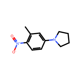 Cc1cc(N2CCCC2)ccc1[N+](=O)[O-]